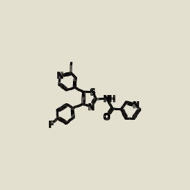 Cc1cc(-c2sc(NC(=O)c3cccnc3)nc2-c2ccc(F)cc2)ccn1